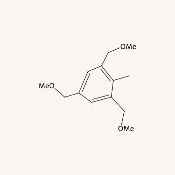 COCc1cc(COC)c(C)c(COC)c1